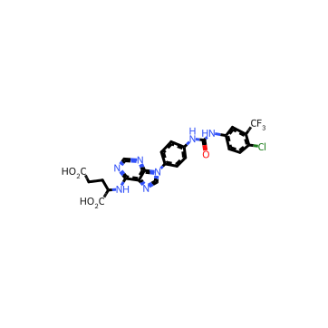 O=C(O)CCC(Nc1ncnc2c1ncn2-c1ccc(NC(=O)Nc2ccc(Cl)c(C(F)(F)F)c2)cc1)C(=O)O